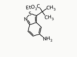 CCOC(=O)C(C)(C)c1snc2ccc(N)cc12